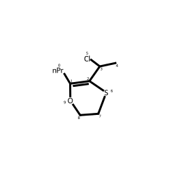 CCCC1=C(C(C)Cl)SCCO1